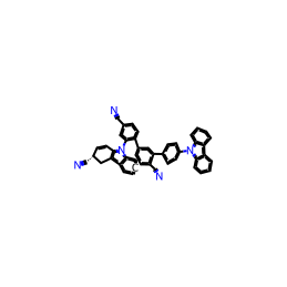 N#Cc1ccc(-c2ccc(C#N)c(-c3ccc(-n4c5ccccc5c5ccccc54)cc3)c2)c(-n2c3c(c4ccccc42)C[C@H](C#N)C=C3)c1